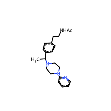 CC(=O)NCCc1ccc(C(C)N2CCN(c3ccccn3)CC2)cc1